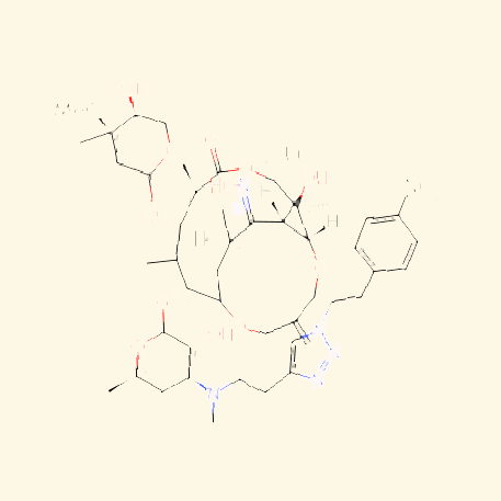 C=C1CO[C@@H]2[C@@H](C)/C(=N/O)[C@H](C)C[C@@](C)(OC1)[C@H](OC1O[C@H](C)C[C@H](N(C)CCc3cn(CCc4ccc([N+](=O)[O-])cc4)nn3)[C@H]1O)C(C)[C@H](OC1C[C@@](C)(OC)[C@@H](O)[C@H](C)O1)[C@@H](C)C(=O)O[C@H](CC)[C@@]2(C)O